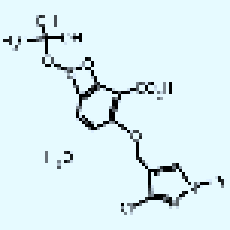 CC(C)n1cc(COc2ccc3c(c2C(=O)O)OB3OC(C)(O)O)c(Cl)n1.O